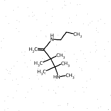 C=C(NCCC)C(C)(C)C(C)(C)NC